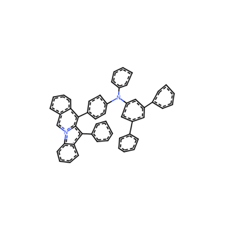 c1ccc(-c2cc(-c3ccccc3)cc(N(c3ccccc3)c3ccc(-c4c5ccccc5cn5c4c(-c4ccccc4)c4ccccc45)cc3)c2)cc1